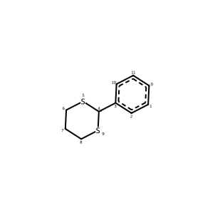 c1ccc([C]2SCCCS2)cc1